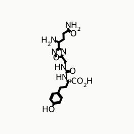 NC(=O)CCC(N)c1noc(CNC(=O)N[C@@H](CCc2ccc(O)cc2)C(=O)O)n1